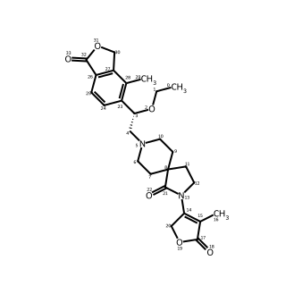 CCO[C@H](CN1CCC2(CC1)CCN(C1=C(C)C(=O)OC1)C2=O)c1ccc2c(c1C)COC2=O